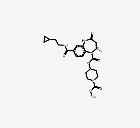 C[C@H]1CC(=O)Nc2cc(C(=O)NCCC3CC3)ccc2N1C(=O)NC1CCN(C(=O)OC(C)(C)C)CC1